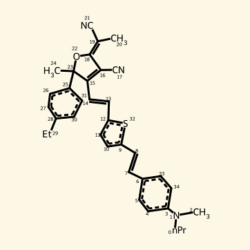 CCCN(C)c1ccc(/C=C/c2ccc(/C=C/C3=C(C#N)C(=C(\C)C#N)/OC3(C)c3ccc(CC)cc3)s2)cc1